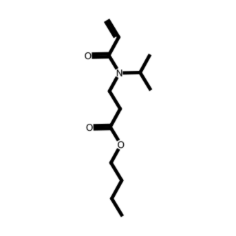 C=CC(=O)N(CCC(=O)OCCCC)C(C)C